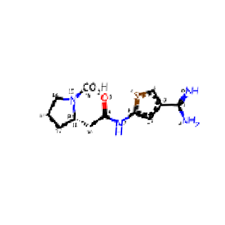 N=C(N)c1csc(NC(=O)C[C@@H]2CCCN2C(=O)O)c1